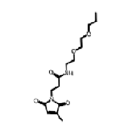 CCCOCCOCCNC(=O)CCN1C(=O)C=C(C)C1=O